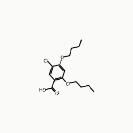 CCCCOc1cc(OCCCC)c(C(=O)O)cc1Cl